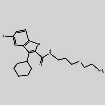 NCCOCCCNC(=O)c1[nH]c2ccc(F)cc2c1C1CCCCC1